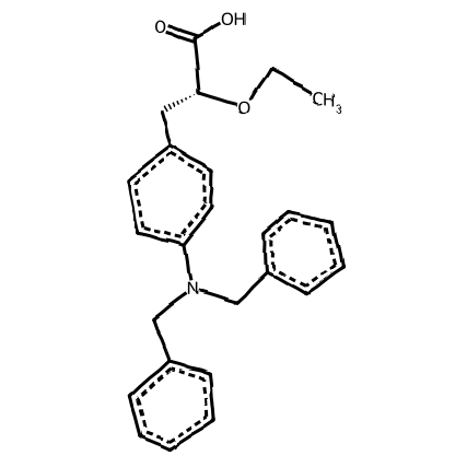 CCO[C@H](Cc1ccc(N(Cc2ccccc2)Cc2ccccc2)cc1)C(=O)O